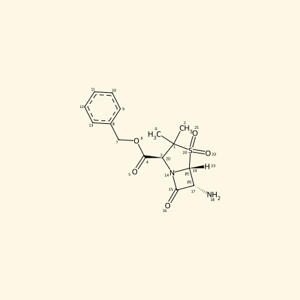 CC1(C)[C@H](C(=O)OCc2ccccc2)N2C(=O)[C@@H](N)[C@H]2S1(=O)=O